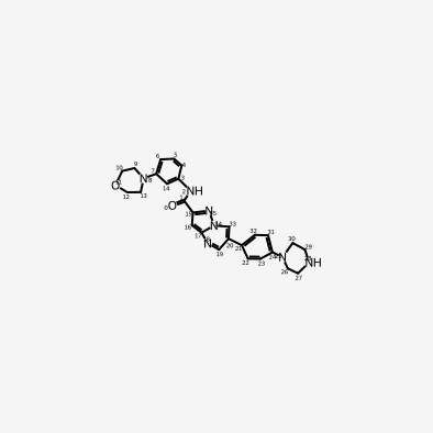 O=C(Nc1cccc(N2CCOCC2)c1)c1cc2ncc(-c3ccc(N4CCNCC4)cc3)cn2n1